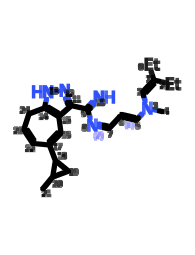 CCC(=CN(C)/C=C/C=N\C(=N)c1n[nH]c2c1C=C(C1CC1C)C=CC2)CC